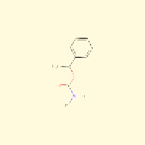 CC(OC(=O)N(F)C(C)C)c1ccccc1